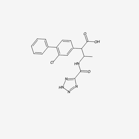 CC(NC(=O)c1nn[nH]n1)C(C(=O)O)c1ccc(-c2ccccc2)c(Cl)c1